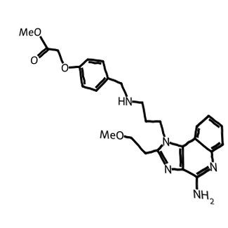 COCCc1nc2c(N)nc3ccccc3c2n1CCCNCc1ccc(OCC(=O)OC)cc1